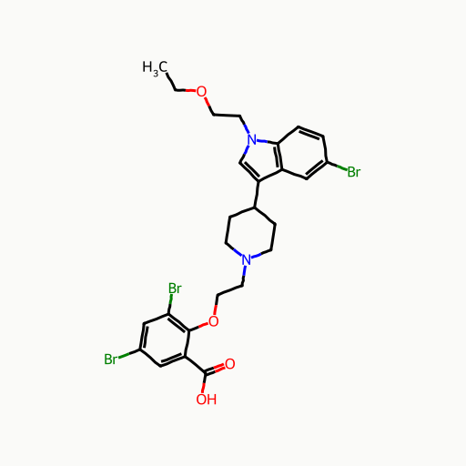 CCOCCn1cc(C2CCN(CCOc3c(Br)cc(Br)cc3C(=O)O)CC2)c2cc(Br)ccc21